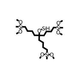 CO[Si](C)(CCCCC(CCCC[Si](C)(OC)OC)(CCCC[Si](C)(OC)OC)O[SiH3])OC